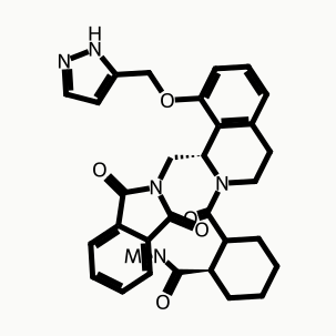 CNC(=O)[C@@H]1CCCCC1C(=O)N1CCc2cccc(OCc3ccn[nH]3)c2[C@H]1CN1C(=O)c2ccccc2C1=O